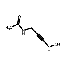 CNC#CCNC(C)=O